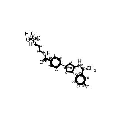 C[C@@H](N[C@H]1CC[C@@H](c2ccc(C(=O)NCCNS(C)(=O)=O)cc2)C1)c1cccc(Cl)c1